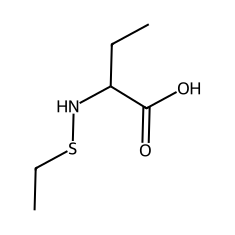 CCSNC(CC)C(=O)O